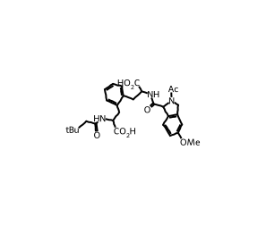 COc1ccc2c(c1)CN(C(C)=O)C2C(=O)NC(Cc1ccccc1CC(NC(=O)CC(C)(C)C)C(=O)O)C(=O)O